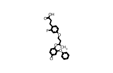 CC(CCOc1ccc(CCC(=O)O)c(F)c1)Oc1ccc(Cl)cc1Oc1ccccc1